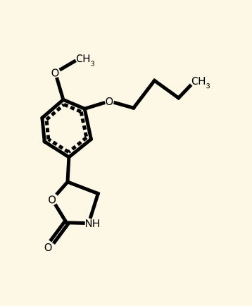 CCCCOc1cc(C2CNC(=O)O2)ccc1OC